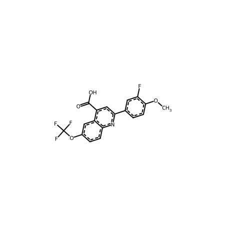 COc1ccc(-c2cc(C(=O)O)c3cc(OC(F)(F)F)ccc3n2)cc1F